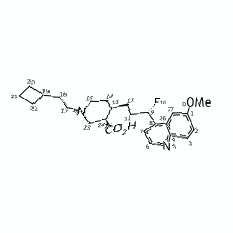 COc1ccc2nccc([C@@H](F)CC[C@@H]3CCN(CCC4CCC4)C[C@@H]3C(=O)O)c2c1